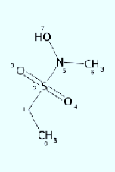 CCS(=O)(=O)N(C)O